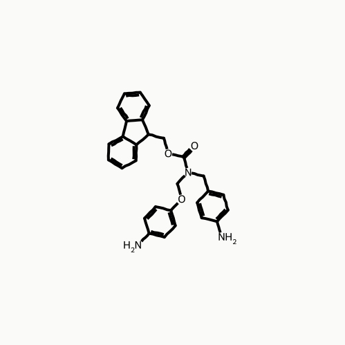 Nc1ccc(CN(COc2ccc(N)cc2)C(=O)OCC2c3ccccc3-c3ccccc32)cc1